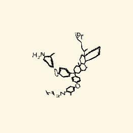 Cc1cc(Oc2ccc(C3(c4ccc(Oc5ccc(N)c(C)c5)cc4)CCC4(C)C(CCC5C4CCC4(C(C)CCCC(C)C)CCCC54)C3)cc2)ccc1N